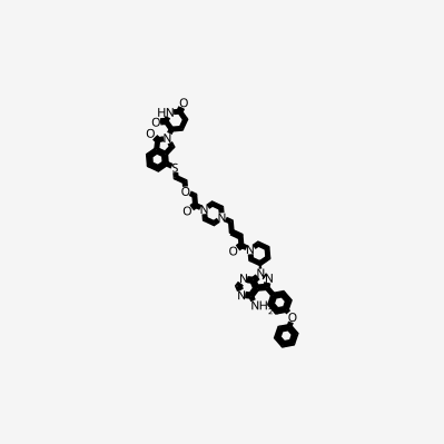 Nc1ncnc2c1c(-c1ccc(Oc3ccccc3)cc1)nn2[C@@H]1CCCN(C(=O)/C=C/CN2CCN(C(=O)COCCSc3cccc4c3CN(C3CCC(=O)NC3=O)C4=O)CC2)C1